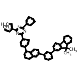 C/C=C\C(=C/C)c1nc(-c2ccccc2)nc(-c2ccc(-c3cccc4cc(-c5cccc(-c6ccc7c(c6)C(C)(C)c6ccccc6-7)c5)ccc34)cc2)n1